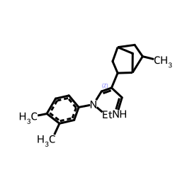 CCN(/C=C(\C=N)C1CC2CC(C)C1C2)c1ccc(C)c(C)c1